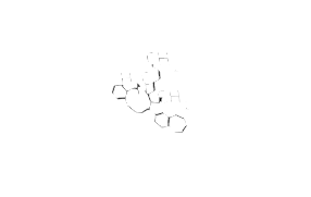 C=C/C=C\C(C)=C\c1ncc2ccccc2cccc(-c2ccc3c(c2)C=CC=CC3)c1C=C